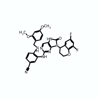 COc1ccc(CNc2ccc(C#N)cc2Nc2ncc3[nH]c(=O)n(C4CCOc5c(F)cc(F)cc54)c3n2)c(OC)c1